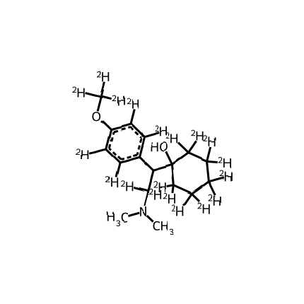 [2H]c1c([2H])c(C(C([2H])([2H])N(C)C)C2(O)C([2H])([2H])C([2H])([2H])C([2H])([2H])C([2H])([2H])C2([2H])[2H])c([2H])c([2H])c1OC([2H])([2H])[2H]